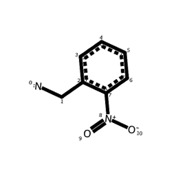 [N]Cc1ccccc1[N+](=O)[O-]